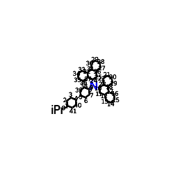 CC(C)c1ccc(-c2ccc(N(c3cc4ccccc4c4ccccc34)c3cc4ccccc4c4ccccc34)cc2)cc1